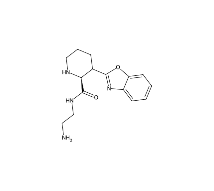 NCCNC(=O)[C@H]1NCCCC1c1nc2ccccc2o1